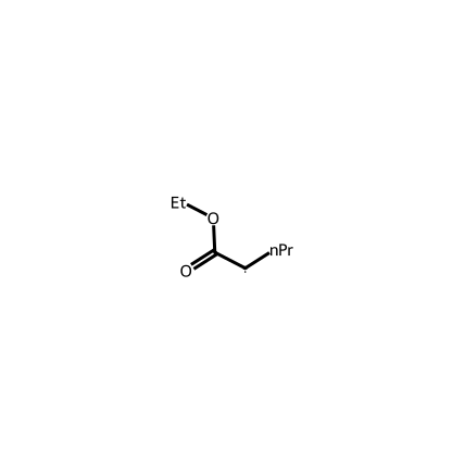 CCC[CH]C(=O)OCC